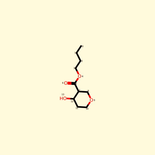 CCCCOC(=O)C1COCCC1O